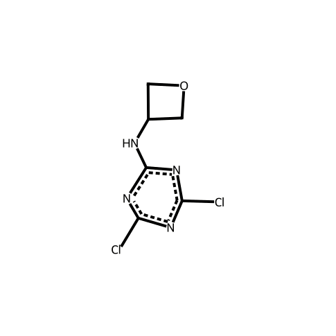 Clc1nc(Cl)nc(NC2COC2)n1